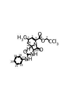 CC1C=C(C(=O)OCC(Cl)(Cl)Cl)N2C(=O)C(NC(=O)Nc3ccccc3)[C@H]2S1